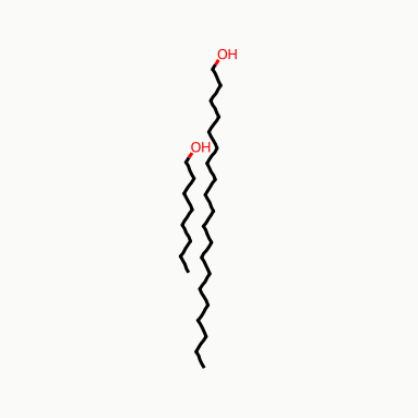 CCCCCCCCCCCCCCCCCCCCO.CCCCCCCCO